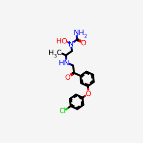 CC(CN(O)C(N)=O)NCC(=O)c1cccc(Oc2ccc(Cl)cc2)c1